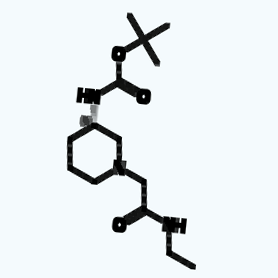 CCNC(=O)CN1CCC[C@H](NC(=O)OC(C)(C)C)C1